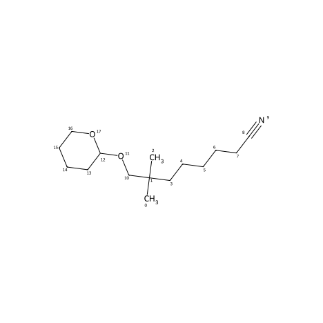 CC(C)(CCCCCC#N)COC1CCCCO1